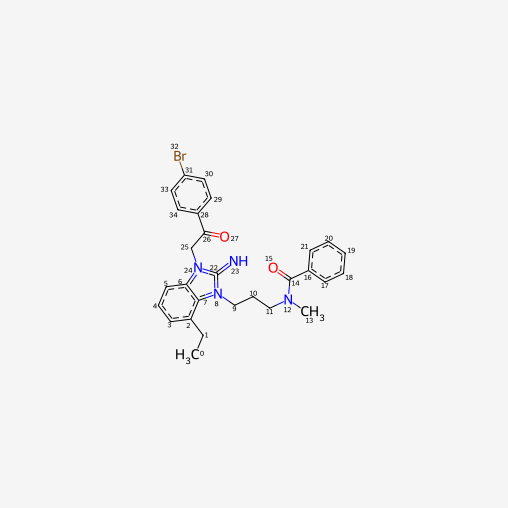 CCc1cccc2c1n(CCCN(C)C(=O)c1ccccc1)c(=N)n2CC(=O)c1ccc(Br)cc1